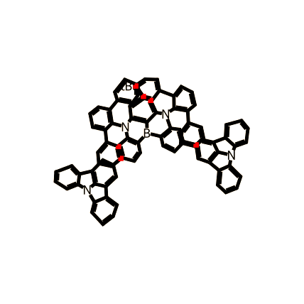 CC(C)(C)c1cc2c3c(c1)N(c1c(-c4ccccc4)cccc1-c1ccccc1)c1cc(-c4cc5c6ccccc6n6c7ccccc7c(c4)c56)ccc1B3c1ccc(-c3cc4c5ccccc5n5c6ccccc6c(c3)c45)cc1N2c1c(-c2ccccc2)cccc1-c1ccccc1